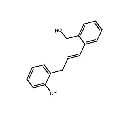 OCc1ccccc1/C=C/Cc1ccccc1O